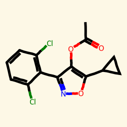 CC(=O)Oc1c(-c2c(Cl)cccc2Cl)noc1C1CC1